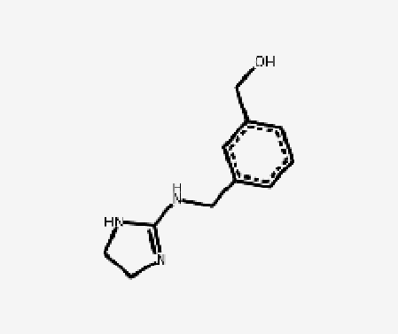 OCc1cccc(CNC2=NCCN2)c1